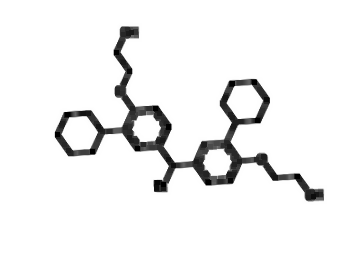 CCC(c1ccc(OCCO)c(C2CCCCC2)c1)c1ccc(OCCO)c(C2CCCCC2)c1